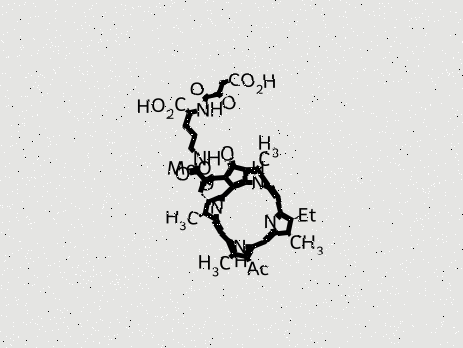 CC[C@H]1c2cc3[nH]c4c(c3C)C(=O)C(C(=O)OC)c4c3nc(cc4[nH]c(cc(n2)[C@@H]1C)c(C(C)=O)c4C)[C@@H](C)[C@@H]3CCC(=O)NCCC[C@H](NC(=O)C(=O)CC(=O)O)C(=O)O